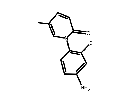 Cc1ccc(=O)n(-c2ccc(N)cc2Cl)c1